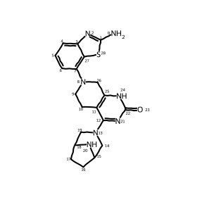 Nc1nc2cccc(N3CCc4c(N5CC6CCC(C5)N6)nc(=O)[nH]c4C3)c2s1